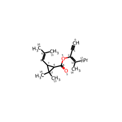 C#CC(OC(=O)C1C(C=C(C)C)C1(C)C)=C(C)CCC